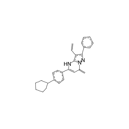 C=Cc1c(-c2ccccc2)nn2c1NC(c1ccc(C3CCCCC3)cc1)=CC2=C